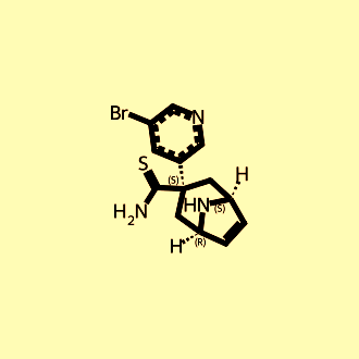 NC(=S)[C@@]1(c2cncc(Br)c2)C[C@H]2C=C[C@@H](C1)N2